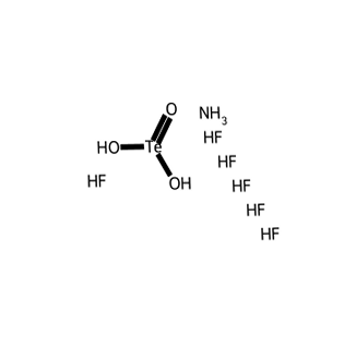 F.F.F.F.F.F.N.O=[Te](O)O